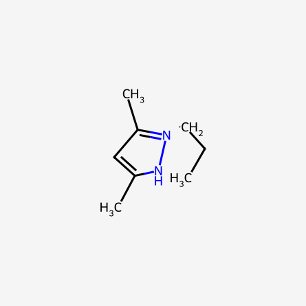 Cc1cc(C)[nH]n1.[CH2]CC